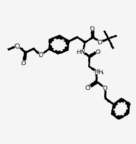 COC(=O)COc1ccc(CC(NC(=O)CNC(=O)OCc2ccccc2)C(=O)OC(C)(C)C)cc1